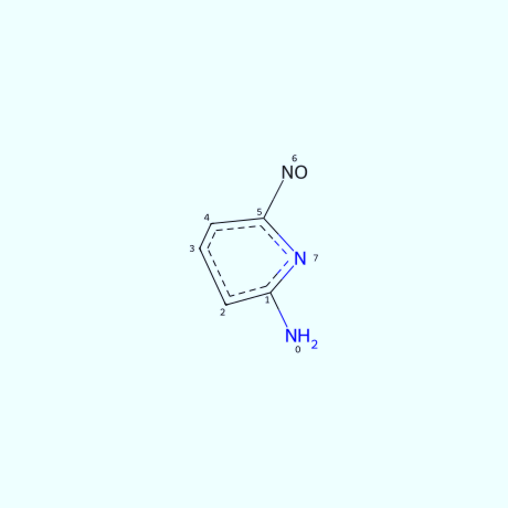 Nc1cccc(N=O)n1